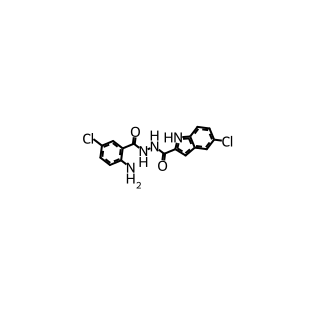 Nc1ccc(Cl)cc1C(=O)NNC(=O)c1cc2cc(Cl)ccc2[nH]1